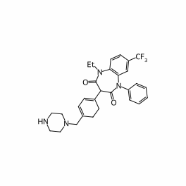 CCN1C(=O)C(C2=CC=C(CN3CCNCC3)CC2)C(=O)N(c2ccccc2)c2cc(C(F)(F)F)ccc21